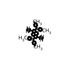 Cc1ccc(N(c2ccc(C)cc2)c2cc(-c3cncnc3)c3ccc4c(N(c5ccc(C)cc5)c5ccc(C)cc5)cc(-c5cncnc5)c5ccc2c3c54)cc1